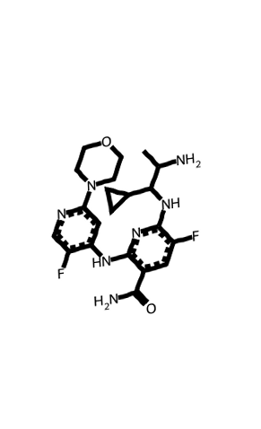 CC(N)C(Nc1nc(Nc2cc(N3CCOCC3)ncc2F)c(C(N)=O)cc1F)C1CC1